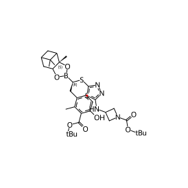 Cc1c(C[C@H](Sc2nnc(NC3CN(C(=O)OC(C)(C)C)C3)s2)B2OC3CC4CC(C4(C)C)[C@]3(C)O2)ccc(O)c1C(=O)OC(C)(C)C